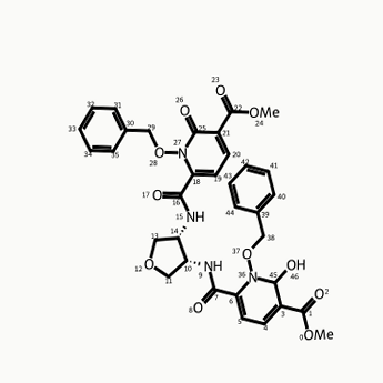 COC(=O)C1=CC=C(C(=O)N[C@@H]2COC[C@@H]2NC(=O)c2ccc(C(=O)OC)c(=O)n2OCc2ccccc2)N(OCc2ccccc2)C1O